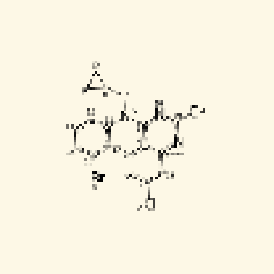 Clc1ccc2c(N(CC3CC3)c3cccc(Br)c3)nc(Cl)nc2c1